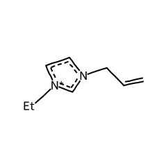 C=CCn1cc[n+](CC)c1